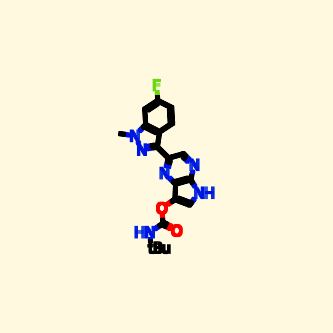 Cn1nc(-c2cnc3[nH]cc(OC(=O)NC(C)(C)C)c3n2)c2ccc(F)cc21